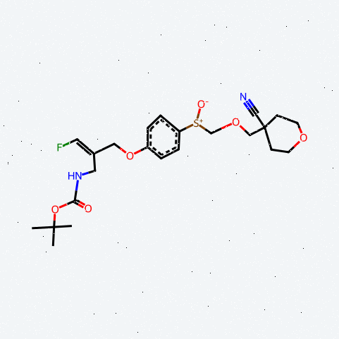 CC(C)(C)OC(=O)NC/C(=C\F)COc1ccc([S+]([O-])COCC2(C#N)CCOCC2)cc1